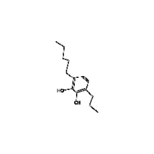 CCCCCc1ccc(CCC)c(O)c1O